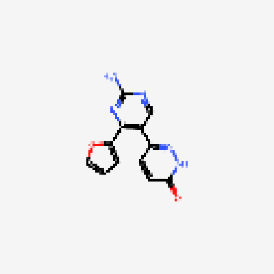 Nc1ncc(-c2ccc(=O)[nH]n2)c(-c2ccco2)n1